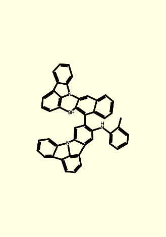 Cc1ccccc1Nc1cc2c3cccc4c5ccccc5n(c2cc1-c1c2c(cc5ccccc15)-n1c5ccccc5c5cccc(c51)B2)c43